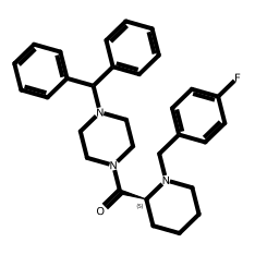 O=C([C@@H]1CCCCN1Cc1ccc(F)cc1)N1CCN(C(c2ccccc2)c2ccccc2)CC1